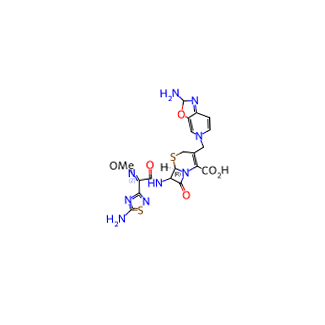 CO/N=C(\C(=O)NC1C(=O)N2C(C(=O)O)=C(CN3C=CC4=NC(N)OC4=C3)CS[C@H]12)c1nsc(N)n1